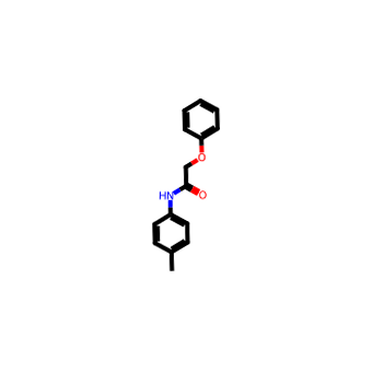 Cc1ccc(NC(=O)COc2ccccc2)cc1